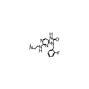 CN(C)CCNc1ncc2[nH]c(=O)n(Cc3ccccc3F)c2n1